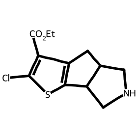 CCOC(=O)c1c(Cl)sc2c1CC1CNCC21